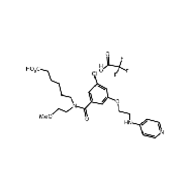 COCCN(CCCCCC(=O)O)C(=O)c1cc(Cl)cc(OCCNc2ccncc2)c1.O=C(O)C(F)(F)F